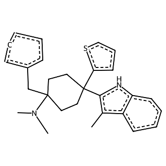 Cc1c(C2(c3cccs3)CCC(Cc3ccccc3)(N(C)C)CC2)[nH]c2ccccc12